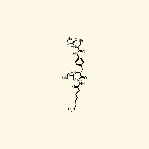 CC(C)C[C@H](NC(=O)OC(C)(C)C)C(=O)Nc1ccc(C[C@@H](NC(=O)OC(C)(C)C)C(=O)NNC(=O)CCCCCN)cc1